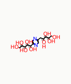 OC[C@@H](O)[C@H](O)[C@@H](O)[C@@H](O)c1cnc(C[C@H](O)[C@@H](O)[C@H](O)CO)cn1